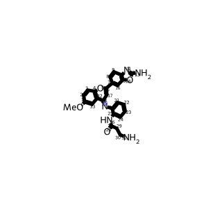 COc1ccc2oc(-c3ccc4nc(N)oc4c3)c/c(=N\c3ccccc3NC(=O)CCN)c2c1